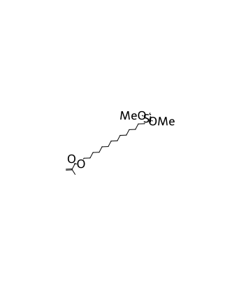 C=C(C)C(=O)OCCCCCCCCCCCCCC[Si](C)(OC)OC